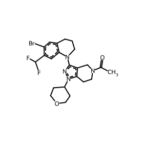 CC(=O)N1CCc2c(c(N3CCCc4cc(Br)c(C(F)F)cc43)nn2C2CCOCC2)C1